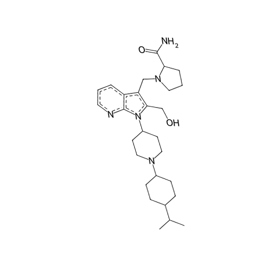 CC(C)C1CCC(N2CCC(n3c(CO)c(CN4CCCC4C(N)=O)c4cccnc43)CC2)CC1